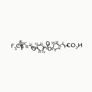 O=C(O)C=Cc1ccc(OC(=O)c2ccc(OCCCC(F)(F)C(F)(F)F)cc2)cc1